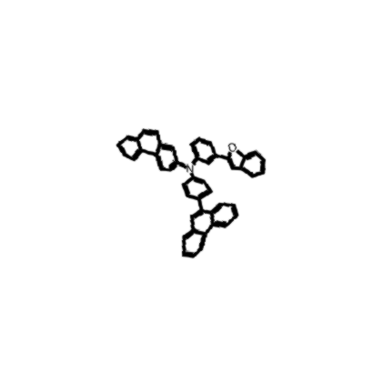 c1cc(-c2cc3ccccc3o2)cc(N(c2ccc(-c3cc4ccccc4c4ccccc34)cc2)c2ccc3c(ccc4ccccc43)c2)c1